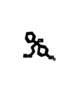 COCCC(C#N)(c1ccccc1)c1ccc(N)cc1